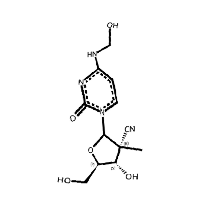 C[C@]1(C#N)C(n2ccc(NCO)nc2=O)O[C@H](CO)[C@H]1O